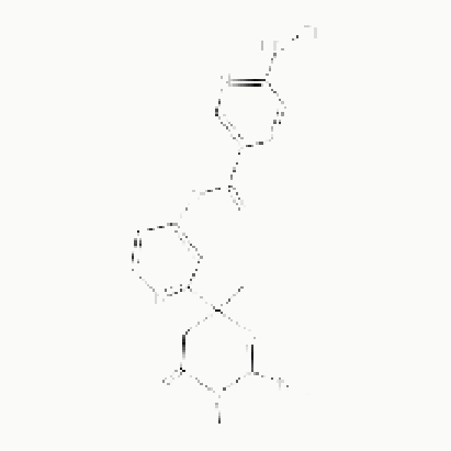 CCNc1cnc(C(=O)Nc2ccnc(C3(C)CC(=O)N(C)C(N)=N3)c2)cn1